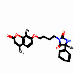 CCCc1c(OCCCCN2C(=O)NC(c3ccccc3)(C(C)(C)C)C2=O)ccc2c(C(F)(F)F)cc(=O)oc12